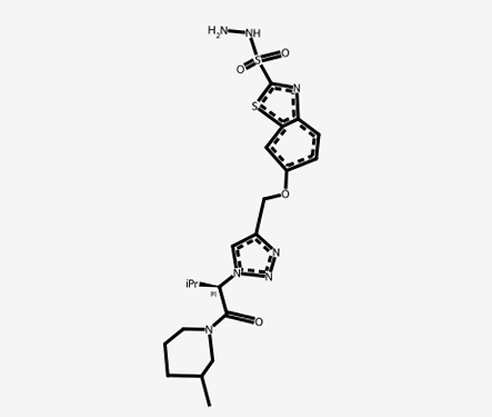 CC1CCCN(C(=O)[C@@H](C(C)C)n2cc(COc3ccc4nc(S(=O)(=O)NN)sc4c3)nn2)C1